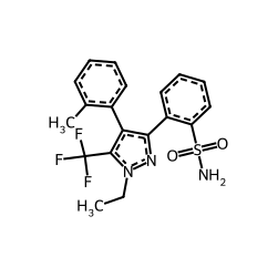 CCn1nc(-c2ccccc2S(N)(=O)=O)c(-c2ccccc2C)c1C(F)(F)F